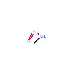 CN.O=[PH3]